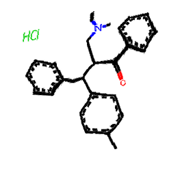 Cc1ccc(C(c2ccccc2)C(CN(C)C)C(=O)c2ccccc2)cc1.Cl